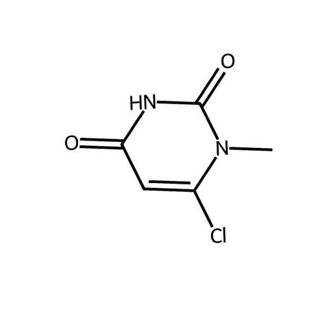 Cn1c(Cl)cc(=O)[nH]c1=O